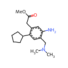 COC(=O)Cc1cc(N)c(CN(C)C)cc1C1CCCC1